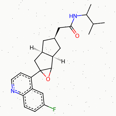 CC(C)C(C)NC(=O)C[C@@H]1C[C@@H]2CC3(c4ccnc5ccc(F)cc45)OC3[C@@H]2C1